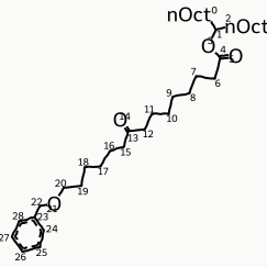 CCCCCCCCC(CCCCCCCC)OC(=O)CCCCCCCC(=O)CCCCCCOCc1ccccc1